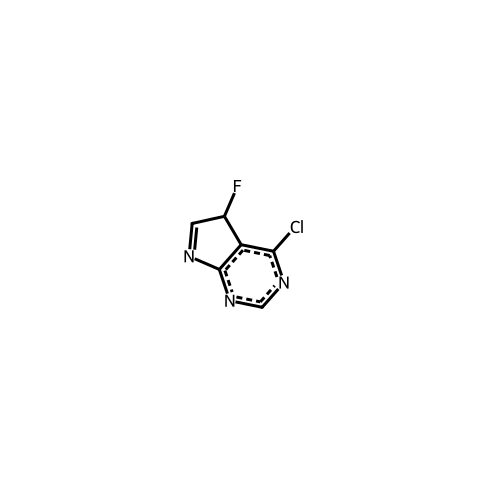 FC1C=Nc2ncnc(Cl)c21